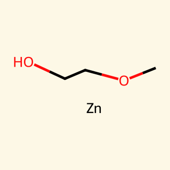 COCCO.[Zn]